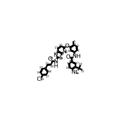 Cc1ccc(NC(=O)c2cccc(C(C)(C)C#N)c2)cc1Oc1ccc2nc(NC(=O)C=Cc3ccc(Cl)cc3)sc2n1